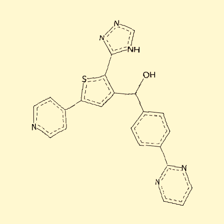 OC(c1ccc(-c2ncccn2)cc1)c1cc(-c2ccncc2)sc1-c1nnc[nH]1